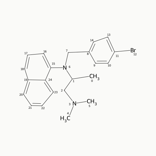 CC(CN(C)C)N(Cc1ccc(Br)cc1)c1cccc2ccccc12